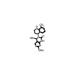 CCCCC1c2cnc(SC)nc2NC(=O)N1[C@H]1CCNc2c(C)cccc21